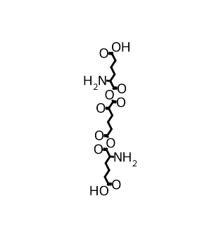 NC(CCCC(=O)O)C(=O)OC(=O)CCCC(=O)C(=O)OC(=O)C(N)CCCC(=O)O